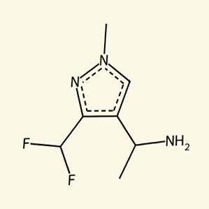 CC(N)c1cn(C)nc1C(F)F